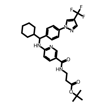 CC(C)(C)OC(=O)CCNC(=O)c1ccc(NC(c2ccc(-n3cc(C(F)(F)F)cn3)cc2)C2CCCCC2)nc1